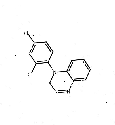 Clc1ccc(N2CC=Nc3ccccc32)c(Cl)c1